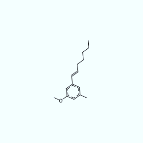 CCCCCC=Cc1cc(C)cc(OC)c1